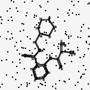 C=C(C)C(=O)Oc1ccccc1C(=O)OCC1CCCCC1